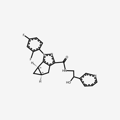 O=C(NCC(O)c1cccnc1)c1nn(-c2ccc(F)cc2F)c2c1C[C@H]1C[C@@H]21